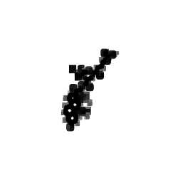 CC(=O)NC(CSC(=O)CCCO[N+](=O)[O-])C(=O)OCC(=O)[C@@]1(O)CCC2C3CCC4=CC(=O)CC[C@]4(C)C3[C@@H](O)C[C@@]21C